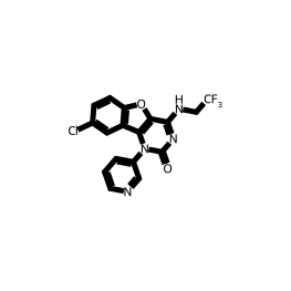 O=c1nc(NCC(F)(F)F)c2oc3ccc(Cl)cc3c2n1-c1cccnc1